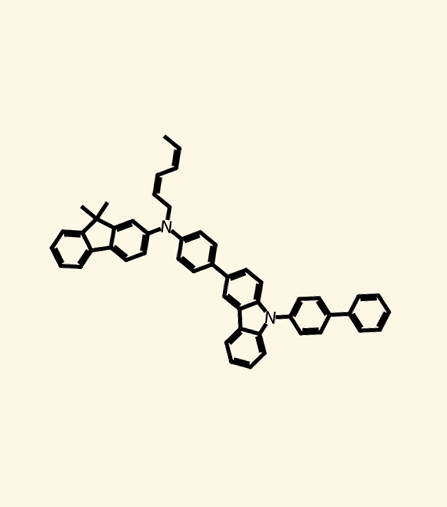 C/C=C\C=C/CN(c1ccc(-c2ccc3c(c2)c2ccccc2n3-c2ccc(-c3ccccc3)cc2)cc1)c1ccc2c(c1)C(C)(C)c1ccccc1-2